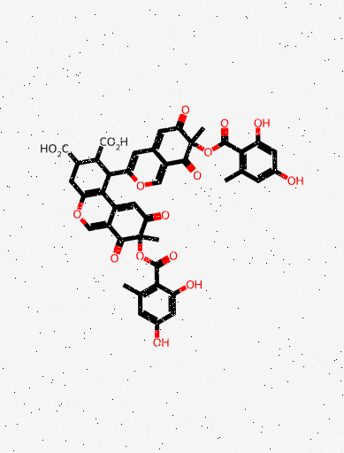 Cc1cc(O)cc(O)c1C(=O)OC1(C)C(=O)C=C2C=C(C3C4=C(CC(C(=O)O)C3C(=O)O)OC=C3C(=O)C(C)(OC(=O)c5c(C)cc(O)cc5O)C(=O)C=C34)OC=C2C1=O